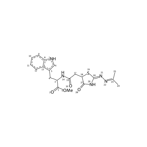 COC(=O)C(Cc1c[nH]c2ccccc12)NC(=O)CC1S/C(=N/N=C(C)C)NC1=O